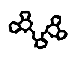 c1cnc(COp2oc3ccccc3c3ccccc3o2)c(Op2oc3ccccc3c3ccccc3o2)c1